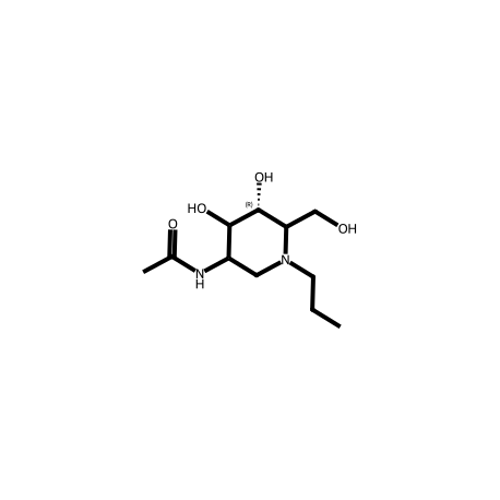 CCCN1CC(NC(C)=O)C(O)[C@H](O)C1CO